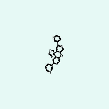 C1=N[C@@]2(CO1)c1cc(-c3cccnc3)ccc1Oc1cnc(-c3cccnc3)cc12